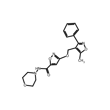 Cc1onc(-c2ccccc2)c1COc1cc(C(=O)NN2CCOCC2)on1